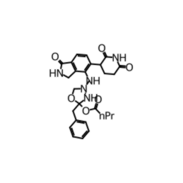 CCCC(=O)OC1(Cc2ccccc2)NN(Nc2c(C3CCC(=O)NC3=O)ccc3c2CNC3=O)CO1